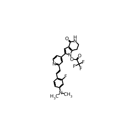 CN(C)c1ccc(C=Cc2cc(-c3cc4c(n3OC(=O)C(F)(F)F)CCNC4=O)ccn2)c(F)c1